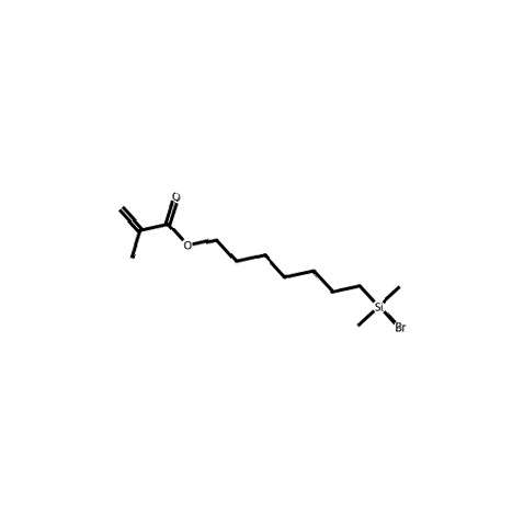 C=C(C)C(=O)OCCCCCCC[Si](C)(C)Br